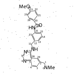 CNCc1ccc2ncnc(NCc3cccc(NC(=O)c4ccc(OC)cc4)c3)c2c1